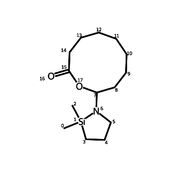 C[Si]1(C)CCCN1C1CCCCCCCC(=O)O1